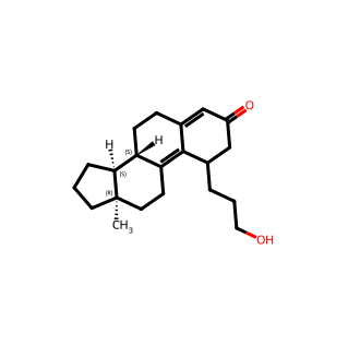 C[C@]12CCC[C@H]1[C@@H]1CCC3=CC(=O)CC(CCCO)C3=C1CC2